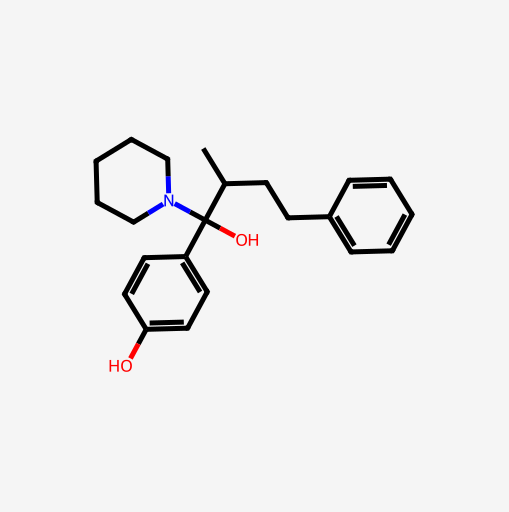 CC(CCc1ccccc1)C(O)(c1ccc(O)cc1)N1CCCCC1